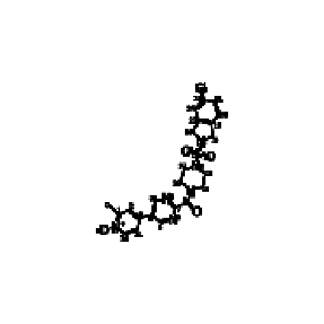 Cc1cc(-c2cnc(C(=O)N3CCN(S(=O)(=O)N4Cc5ccc(Cl)cc5C4)CC3)nc2)cc[n+]1[O-]